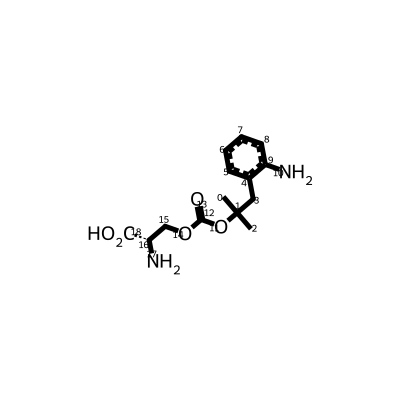 CC(C)(Cc1ccccc1N)OC(=O)OC[C@H](N)C(=O)O